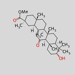 COC(=O)[C@@]1(C)CC[C@]2(C)CC[C@]3(C)C(=CC(=O)[C@@H]4[C@@]5(C)CC[C@H](O)C(C)(C)[C@@H]5CC[C@]43C)[C@H]2C1